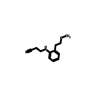 COCCc1ccccc1PCCC#N